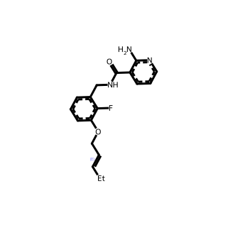 CC/C=C/COc1cccc(CNC(=O)c2cccnc2N)c1F